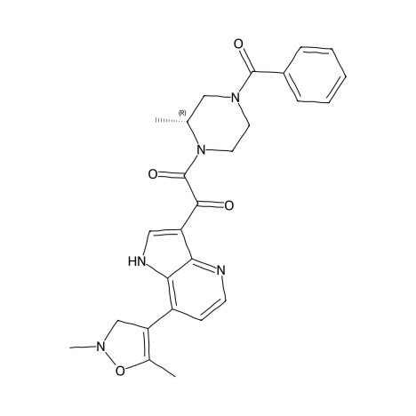 CC1=C(c2ccnc3c(C(=O)C(=O)N4CCN(C(=O)c5ccccc5)C[C@H]4C)c[nH]c23)CN(C)O1